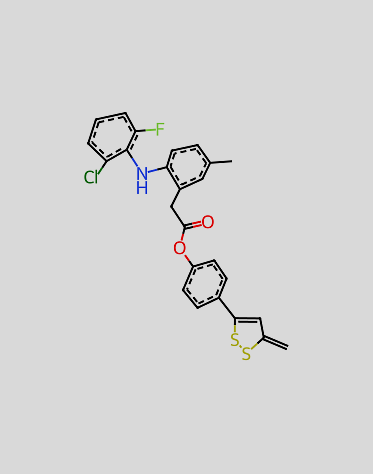 C=C1C=C(c2ccc(OC(=O)Cc3cc(C)ccc3Nc3c(F)cccc3Cl)cc2)SS1